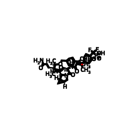 CCCC[C@H](NC(=O)/C=C(\C)c1ccc(C(F)(F)P(=O)(O)O)cc1)C(=O)N1C[C@H]2C[C@H]2[C@H]1C(=O)N[C@@H](CCC(N)=O)[C@@H](C)OCc1ccc(C(C)C)cc1